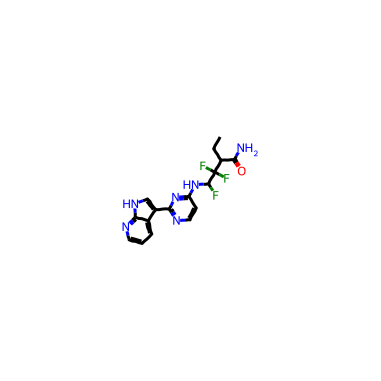 CCC(C(N)=O)C(F)(F)C(F)Nc1ccnc(-c2c[nH]c3ncccc23)n1